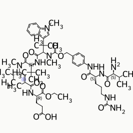 CCOC(=O)[C@@H](CCC(=O)O)NC(=O)/C(C)=C/[C@H](C(C)C)N(C)C(=O)[C@@H](NC(=O)C(N(C)C(=O)OCc1ccc(NC(=O)[C@H](CCCNC(N)=O)NC(=O)[C@@H](N)C(C)C)cc1)C(C)(C)c1cn(C)c2ccccc12)C(C)(C)C